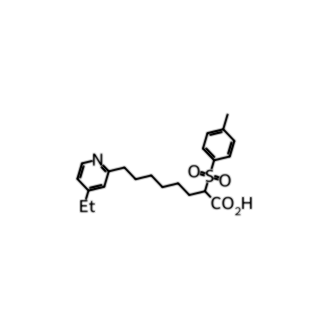 CCc1ccnc(CCCCCCC(C(=O)O)S(=O)(=O)c2ccc(C)cc2)c1